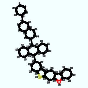 c1ccc(-c2ccc3cc(-c4c5ccccc5c(-c5ccc6sc7cc8oc9ccccc9c8cc7c6c5)c5ccccc45)ccc3c2)cc1